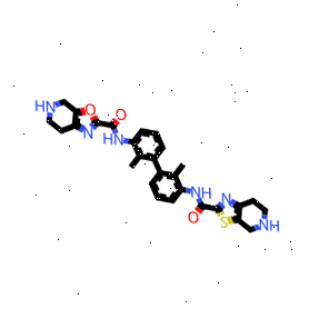 Cc1c(NC(=O)c2nc3c(o2)CNCC3)cccc1-c1cccc(NC(=O)c2nc3c(s2)CNCC3)c1C